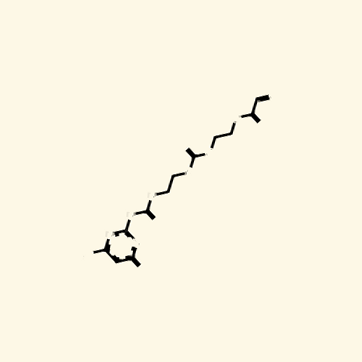 C=CC(=O)OCCOC(=O)NCCNC(=O)Nc1nc(=O)cc(C)[nH]1